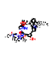 C=CC(=O)N1CCN(C(=O)N(C)C(C(=O)N[C@H]2Cc3cc(O)cc(c3)-c3ccc4c(c3)c(c(-c3ccccc3CCOC)n4CC)CC(C)(C)COC(=O)[C@@H]3CCCN(N3)C2=O)C(C)C)CC1